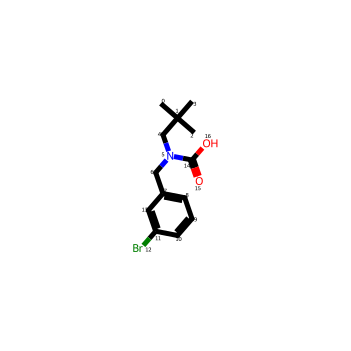 CC(C)(C)CN(Cc1cccc(Br)c1)C(=O)O